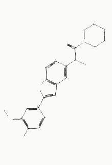 COc1cc(-c2cc3cc(C(C)C(=O)N4CCCCC4)ccc3o2)ccc1O